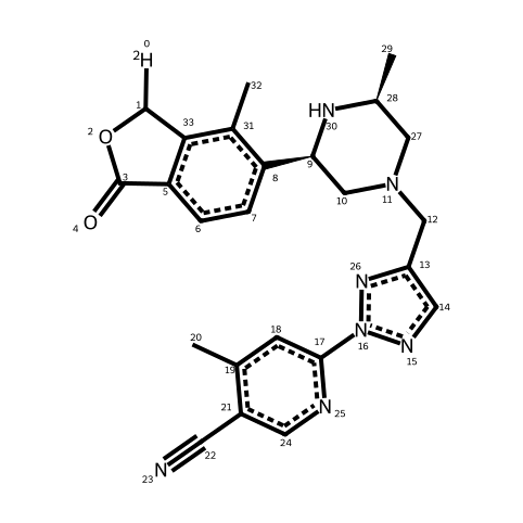 [2H]C1OC(=O)c2ccc([C@@H]3CN(Cc4cnn(-c5cc(C)c(C#N)cn5)n4)C[C@H](C)N3)c(C)c21